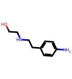 Nc1ccc(CCNCCO)cc1